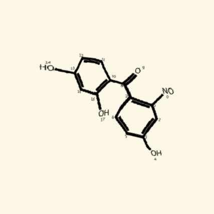 O=Nc1cc(O)ccc1C(=O)c1ccc(O)cc1O